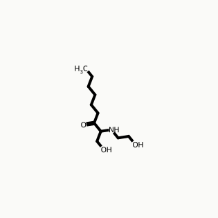 CCCCCCC(=O)C(CO)NCCO